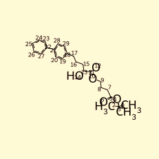 CC(C)(C)OC(=O)CCCOC(=O)C(O)CCCc1ccc(-c2ccccc2)cc1